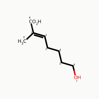 CC(=CC[CH][CH]CO)C(=O)O